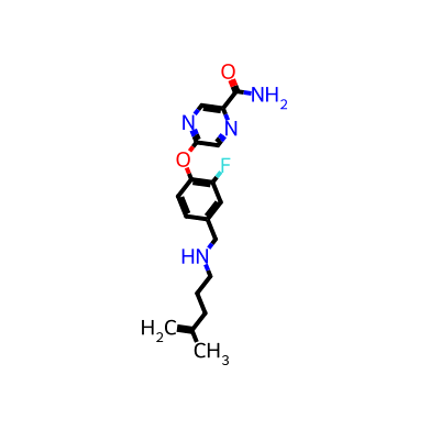 C=C(C)CCCNCc1ccc(Oc2cnc(C(N)=O)cn2)c(F)c1